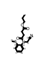 CCCOC(=O)CCC(=O)N(CC#N)c1ccccc1SC